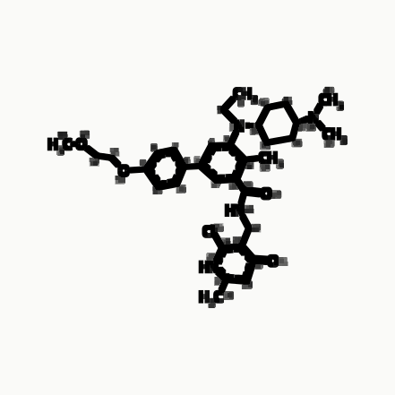 CCN(c1cc(-c2ccc(OCCOC)cc2)cc(C(=O)NCc2c(Cl)[nH]c(C)cc2=O)c1C)[C@H]1CC[C@H](N(C)C)CC1